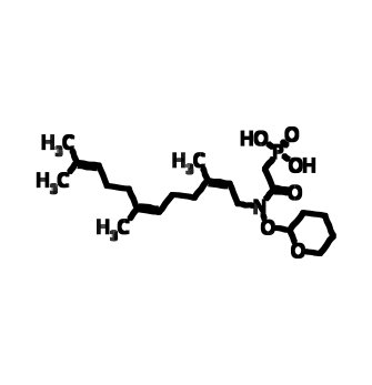 CC(C)=CCCC(C)=CCCC(C)=CCN(OC1CCCCO1)C(=O)CP(=O)(O)O